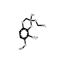 CCCOc1ccc2c(c1C(=O)O)O[B-](O)(OCN)CO2